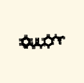 CN(C)CC1CCC(CNCc2ccccn2)CC1